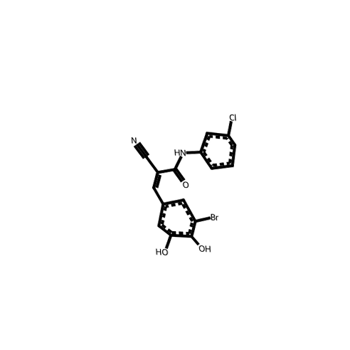 N#CC(=Cc1cc(O)c(O)c(Br)c1)C(=O)Nc1cccc(Cl)c1